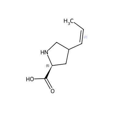 C/C=C\C1CN[C@H](C(=O)O)C1